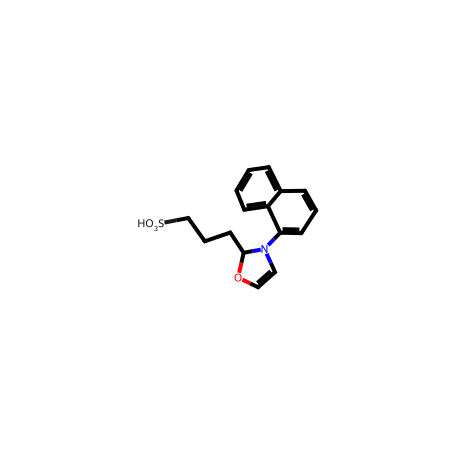 O=S(=O)(O)CCCC1OC=CN1c1cccc2ccccc12